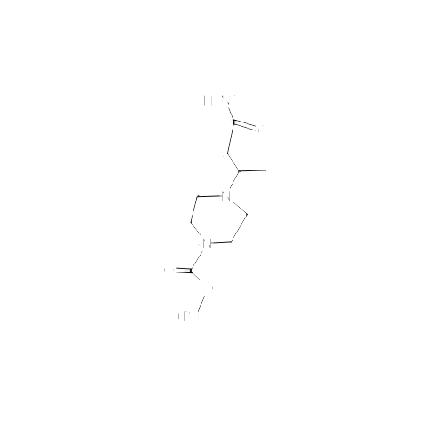 CC(CC(N)=O)N1CCN(C(=O)OC(C)(C)C)CC1